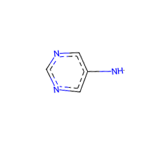 [NH]c1cncnc1